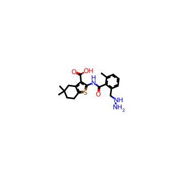 Cc1cccc(CNN)c1C(=O)Nc1sc2c(c1C(=O)O)CC(C)(C)CC2